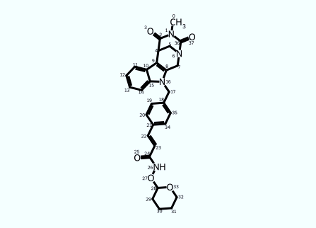 CN1C(=O)C2CN(Cc3c2c2ccccc2n3Cc2ccc(/C=C/C(=O)NOC3CCCCO3)cc2)C1=O